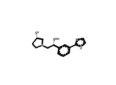 CN[C@@H](CN1CC[C@H](O)C1)c1cccc(-c2ncc[nH]2)c1